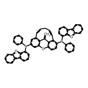 C=C1c2c3cc(N(c4ccccc4)c4cccc5c4oc4ccccc45)cc2Oc2ccc(N(c4ccccc4)c4cccc5c4oc4ccccc45)c(c21)/C=C\C/C=C\3